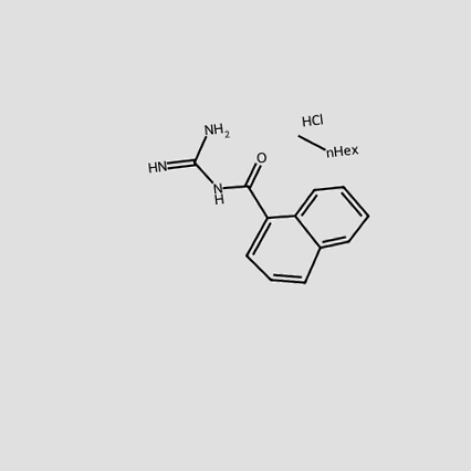 CCCCCCC.Cl.N=C(N)NC(=O)c1cccc2ccccc12